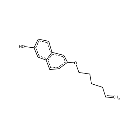 C=CCCCCOc1ccc2[c]c(O)ccc2c1